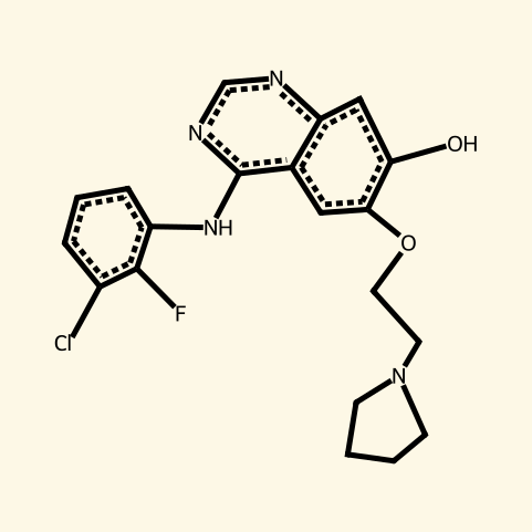 Oc1cc2ncnc(Nc3cccc(Cl)c3F)c2cc1OCCN1CCCC1